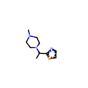 CC(c1nccs1)N1CCN(C)CC1